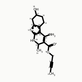 CC#CCOC(=O)C1=C(N)c2c(sc3c2CCC(O)C3)NC1C